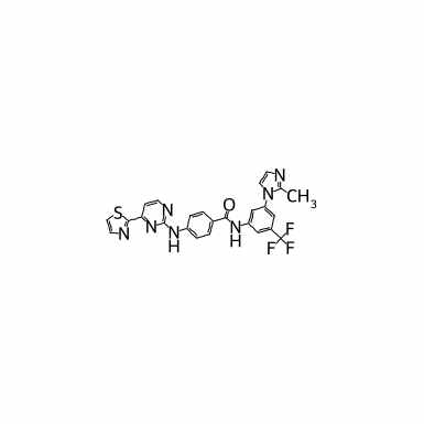 Cc1nccn1-c1cc(NC(=O)c2ccc(Nc3nccc(-c4nccs4)n3)cc2)cc(C(F)(F)F)c1